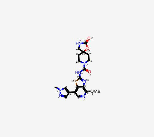 COc1ncc(-c2cnn(C)c2)c2sc(NC(=O)N3CCC4(CC3)CNC(=O)O4)nc12